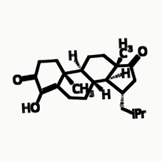 CC(C)C[C@H]1CC(=O)[C@@]2(C)CC[C@H]3[C@@H](CCC4=C(O)C(=O)CC[C@@]43C)[C@H]12